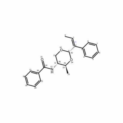 C/C=C(/c1ccccc1)[C@H]1OC[C@@H](NC(=O)c2ccccc2)[C@H](C)O1